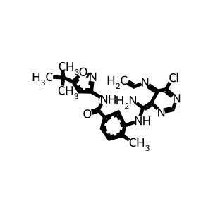 C=C/N=C1/C(Cl)=NC=N/C1=C(/N)Nc1cc(C(=O)Nc2cc(C(C)(C)C)on2)ccc1C